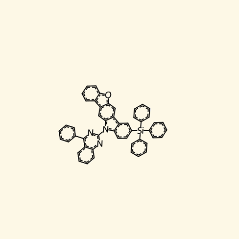 c1ccc(-c2nc(-n3c4ccc([Si](c5ccccc5)(c5ccccc5)c5ccccc5)cc4c4cc5oc6ccccc6c5cc43)nc3ccccc23)cc1